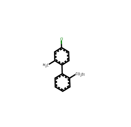 CCOC(=O)c1ccccc1-c1ccc(Cl)cc1C